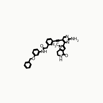 Cn1c(-c2nc(N)ncc2C#Cc2cccc(CC(=O)Nc3cccc(OCc4ccccc4)c3)c2)cc2c1CCNC2=O